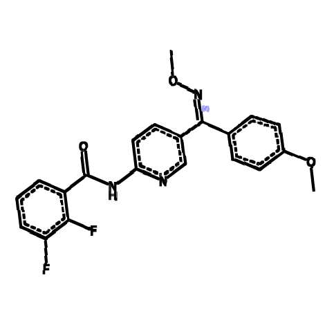 CO/N=C(/c1ccc(OC)cc1)c1ccc(NC(=O)c2cccc(F)c2F)nc1